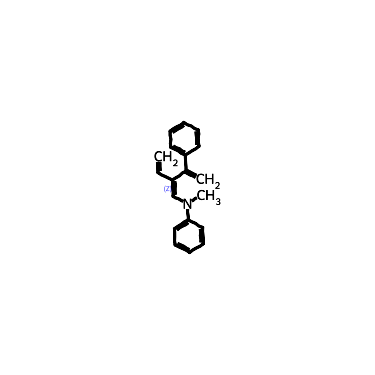 C=C/C(=C/N(C)c1ccccc1)C(=C)c1ccccc1